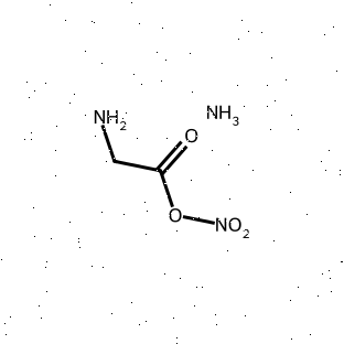 N.NCC(=O)O[N+](=O)[O-]